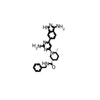 C[C@@H]1CC[C@H](C(=O)NCc2ccccc2)CN1c1cc(-c2ccc3c(N)n[nH]c3c2)nc(N)n1